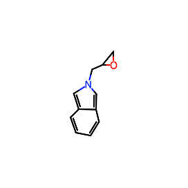 c1ccc2cn(CC3CO3)cc2c1